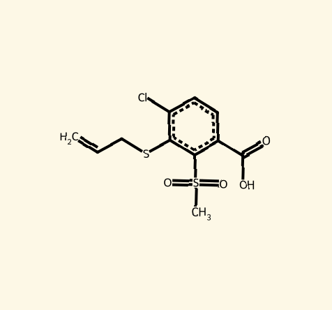 C=CCSc1c(Cl)ccc(C(=O)O)c1S(C)(=O)=O